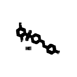 Cl.O=S(=O)(c1cc(F)ccc1F)N1CCN(CCc2ccc(F)cc2)CC1